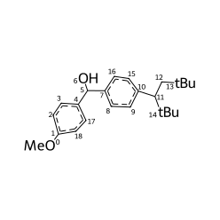 COc1ccc(C(O)c2ccc(C(CC(C)(C)C)C(C)(C)C)cc2)cc1